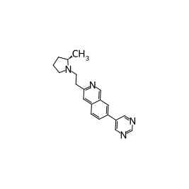 C[C@@H]1CCCN1CCc1cc2ccc(-c3cncnc3)cc2cn1